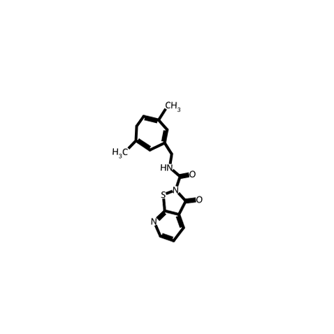 CC1=CCC(C)=CC(CNC(=O)n2sc3ncccc3c2=O)=C1